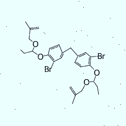 C=C(C)COC(CC)Oc1ccc(Cc2ccc(OC(CC)OCC(=C)C)c(Br)c2)cc1Br